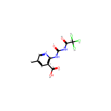 Cc1cnc(NC(=O)NC(=O)C(Cl)(Cl)Cl)c(C(=O)O)c1